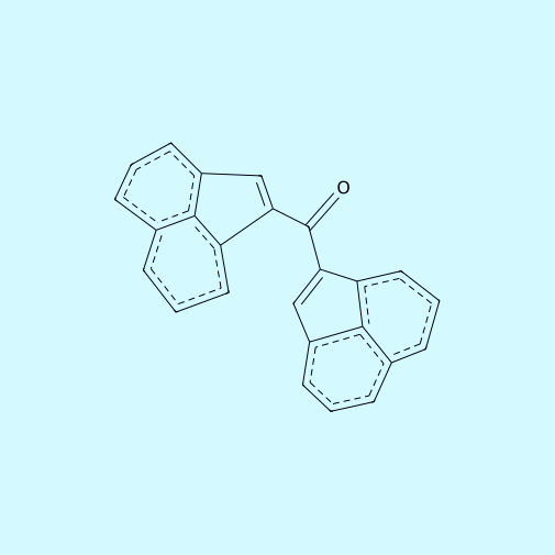 O=C(C1=Cc2cccc3cccc1c23)C1=Cc2cccc3cccc1c23